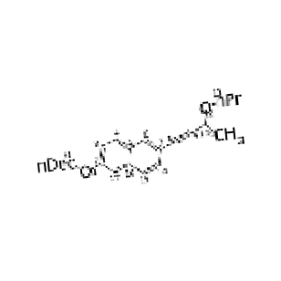 CCCCCCCCCCOc1ccc2cc(C#CC(C)OCCC)ccc2c1